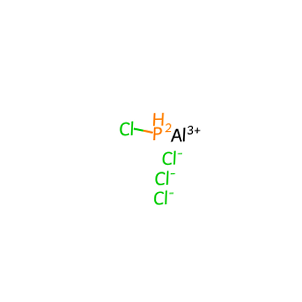 PCl.[Al+3].[Cl-].[Cl-].[Cl-]